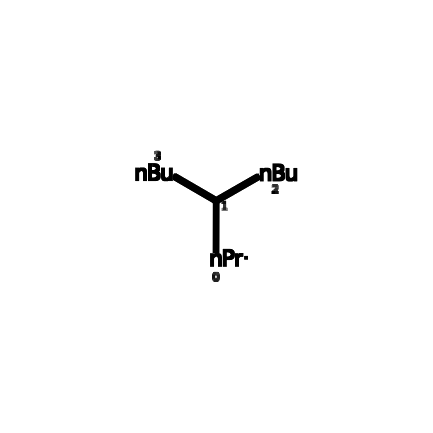 CC[CH]C(CCCC)CCCC